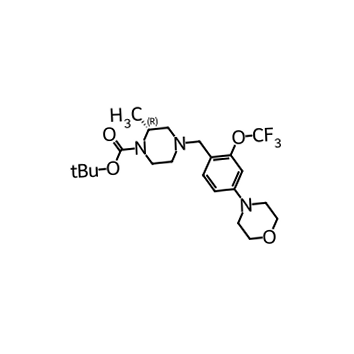 C[C@@H]1CN(Cc2ccc(N3CCOCC3)cc2OC(F)(F)F)CCN1C(=O)OC(C)(C)C